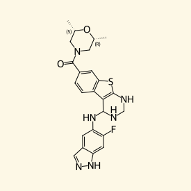 C[C@@H]1CN(C(=O)c2ccc3c4c(sc3c2)NCNC4Nc2cc3cn[nH]c3cc2F)C[C@H](C)O1